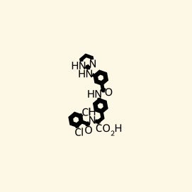 O=C(Nc1ccc(C[C@H](NC(=O)c2c(Cl)cccc2Cl)C(=O)O)cc1)c1cccc(NC2=NCCCN2)c1